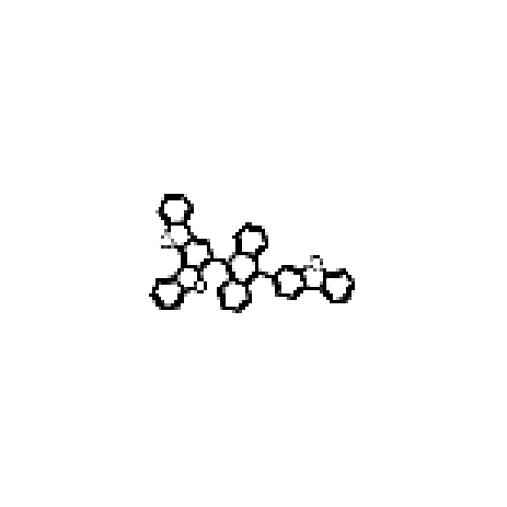 c1ccc2c(c1)oc1cc(-c3c4ccccc4c(-c4cc5c6ccccc6oc5c5c4oc4ccccc45)c4ccccc34)ccc12